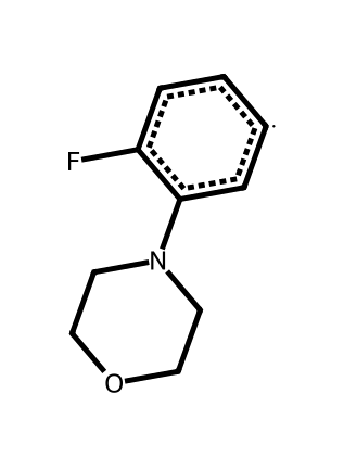 Fc1cc[c]cc1N1CCOCC1